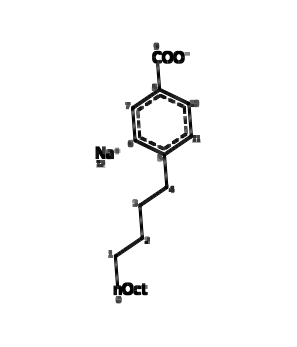 CCCCCCCCCCCCc1ccc(C(=O)[O-])cc1.[Na+]